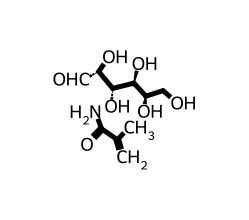 C=C(C)C(N)=O.O=C[C@H](O)[C@@H](O)[C@@H](O)[C@H](O)CO